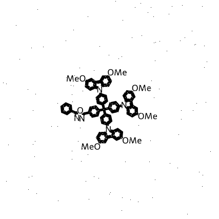 COc1ccc2c(c1)c1cc(OC)ccc1n2-c1ccc(C(c2ccc(-c3nnc(-c4ccccc4)o3)cc2)(c2ccc(-n3c4ccc(OC)cc4c4cc(OC)ccc43)cc2)c2ccc(-n3c4ccc(OC)cc4c4cc(OC)ccc43)cc2)cc1